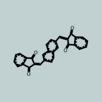 O=C1C(=Cc2ccc3cc(C=C4C(=O)c5ccccc5C4=O)ccc3c2)C(=O)c2ccccc21